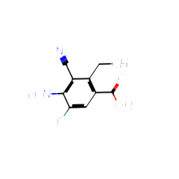 CCc1c(C(=O)O)cc(F)c(N)c1C#N